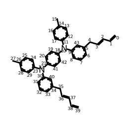 C=C/C=C/Cc1cccc(N(c2ccc(C)cc2)c2ccc(N(c3ccc(C)cc3)c3cccc(C/C=C/C=C)c3)cc2)c1